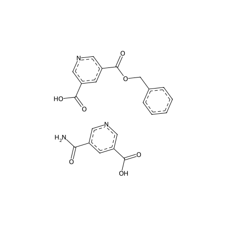 NC(=O)c1cncc(C(=O)O)c1.O=C(O)c1cncc(C(=O)OCc2ccccc2)c1